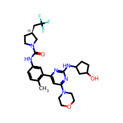 Cc1ccc(NC(=O)N2CC[C@@H](CC(F)(F)F)C2)cc1-c1cc(N2CCOCC2)nc(NC2CCC(O)C2)n1